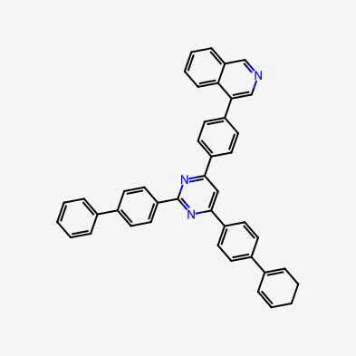 C1=CC(c2ccc(-c3cc(-c4ccc(-c5cncc6ccccc56)cc4)nc(-c4ccc(-c5ccccc5)cc4)n3)cc2)=CCC1